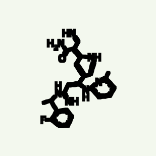 Cc1cccc(N/C(=C\C(=N)NC(C)c2ccccc2F)C2=C/C(=C(/C=N)C(N)=O)NC=C2)n1